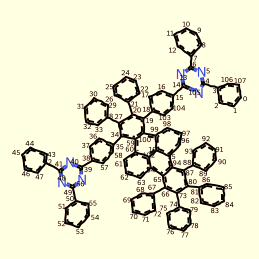 c1ccc(-c2nc(-c3ccccc3)nc(-c3ccc(-c4c(-c5ccccc5)c(-c5ccccc5)c(-c5ccc(-c6nc(-c7ccccc7)nc(-c7ccccc7)n6)cc5)c5c6cccc7c8c(-c9ccccc9)c(-c9ccccc9)c(-c9ccccc9)c(-c9ccccc9)c8c8cccc(c45)c8c76)cc3)n2)cc1